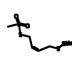 CSSC/C=C\CSS(C)(=O)=O